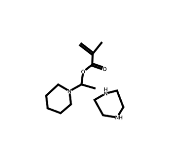 C1CNCCN1.C=C(C)C(=O)OC(C)N1CCCCC1